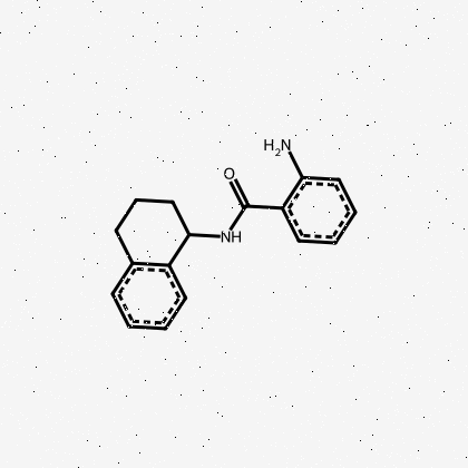 Nc1ccccc1C(=O)NC1CCCc2ccccc21